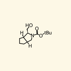 CC(C)(C)OC(=O)N1C[C@@H]2CCC[C@@H]2[C@H]1CO